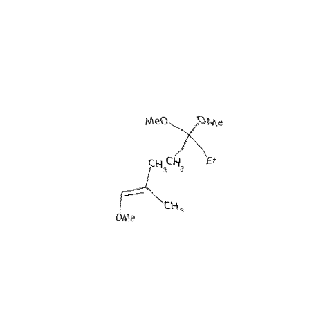 CCC(C)(OC)OC.COC=C(C)C